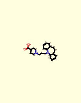 O=C(O)C1CCN(CCCN2c3ccccc3CCc3ccccc32)CC1